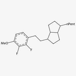 CCCCCC1CCC2C(CCc3ccc(OC)c(F)c3F)CCC12